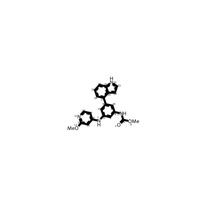 COC(=O)Nc1cc(Nc2ccnc(OC)c2)cc(-c2cccc3[nH]ccc23)c1